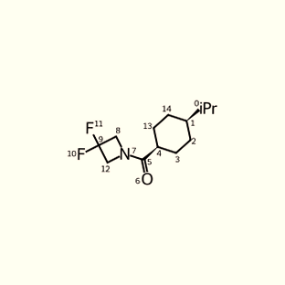 CC(C)[C@H]1CC[C@@H](C(=O)N2CC(F)(F)C2)CC1